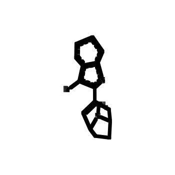 CN1C2C=C(c3sc4ccccc4c3Br)CC1CC2